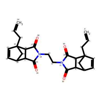 C=CCC12C=CC(C1)C1C(=O)N(CCN3C(=O)C4C5C=CC(CC=C)(C5)C4C3=O)C(=O)C12